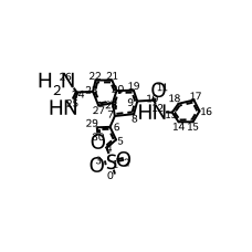 CS(=O)(=O)c1cc(-c2cc(C(=O)Nc3ccccc3)cc3ccc(C(=N)N)cc23)co1